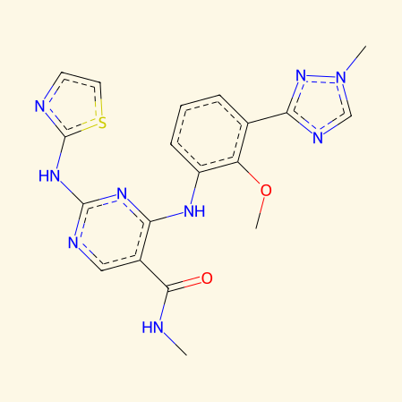 CNC(=O)c1cnc(Nc2nccs2)nc1Nc1cccc(-c2ncn(C)n2)c1OC